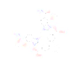 COc1c(C(N)=O)ccc2c1nc(-c1ccc(C)cc1C(=O)O)n2CCn1c(-c2ccc(C)cc2C(=O)O)nc2c(OC)c(C(N)=O)ccc21